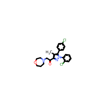 Cc1c(C(=O)CN2CCCOCC2)nn(-c2ccccc2Cl)c1-c1ccc(Cl)cc1